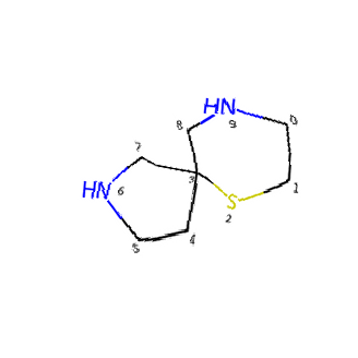 C1CSC2(CCNC2)CN1